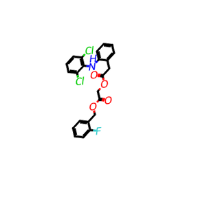 O=C(COC(=O)Cc1ccccc1Nc1c(Cl)cccc1Cl)OCc1ccccc1F